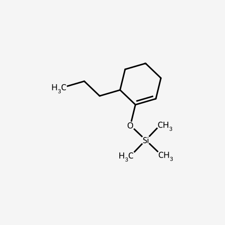 CCCC1CCCC=C1O[Si](C)(C)C